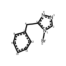 Brn1cnnc1Cc1ccccc1